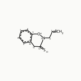 C=CCN1Oc2ccccc2CC1=S